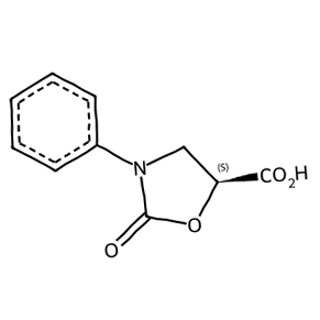 O=C(O)[C@@H]1CN(c2ccccc2)C(=O)O1